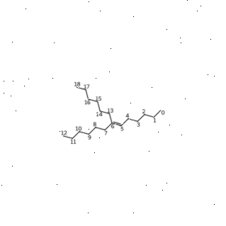 CCCCCC=C(CCCCCC)CCCCCC